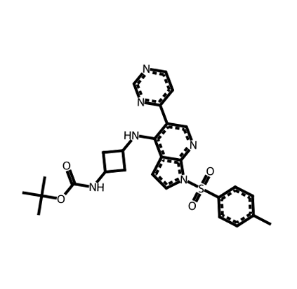 Cc1ccc(S(=O)(=O)n2ccc3c(NC4CC(NC(=O)OC(C)(C)C)C4)c(-c4ccncn4)cnc32)cc1